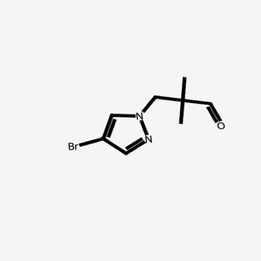 CC(C)(C=O)Cn1cc(Br)cn1